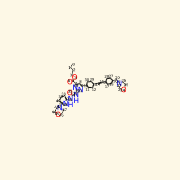 CCCCOC(=O)c1cc(-c2ccc(C#Cc3ccc(CN4CCOCC4)cc3)cc2)nc(NC(=O)Nc2cccc(N3CCOCC3)n2)n1